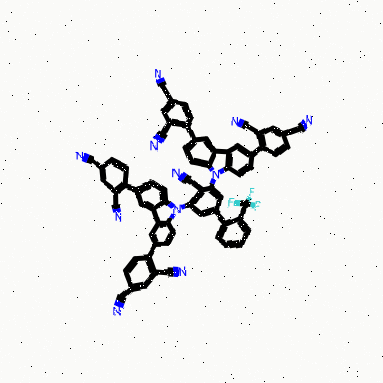 N#Cc1ccc(-c2ccc3c(c2)c2cc(-c4ccc(C#N)cc4C#N)ccc2n3-c2cc(-c3ccccc3C(F)(F)F)cc(-n3c4ccc(-c5ccc(C#N)cc5C#N)cc4c4cc(-c5ccc(C#N)cc5C#N)ccc43)c2C#N)c(C#N)c1